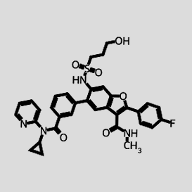 CNC(=O)c1c(-c2ccc(F)cc2)oc2cc(NS(=O)(=O)CCCO)c(-c3cccc(C(=O)N(c4ccccn4)C4CC4)c3)cc12